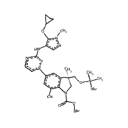 Cn1ncc(Nc2nccc(-c3cc(C#N)c4c(c3)[C@@](C)(CO[Si](C)(C)C(C)(C)C)CN4C(=O)OC(C)(C)C)n2)c1OC1CC1